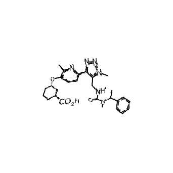 Cc1nc(-c2nnn(C)c2CNC(=O)N(C)C(C)c2ccccc2)ccc1O[C@H]1CCC[C@H](C(=O)O)C1